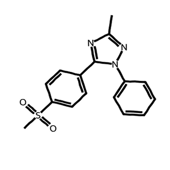 Cc1nc(-c2ccc(S(C)(=O)=O)cc2)n(-c2ccccc2)n1